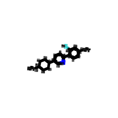 CCCc1ccc(-c2ccc(C3CCC(CCC)CC3)cn2)c(F)c1